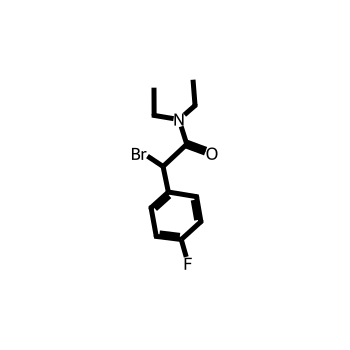 CCN(CC)C(=O)C(Br)c1ccc(F)cc1